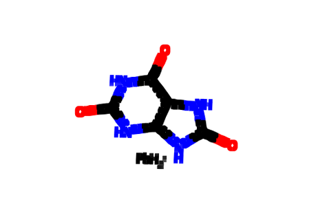 O=c1[nH]c(=O)c2[nH]c(=O)[nH]c2[nH]1.[PbH2]